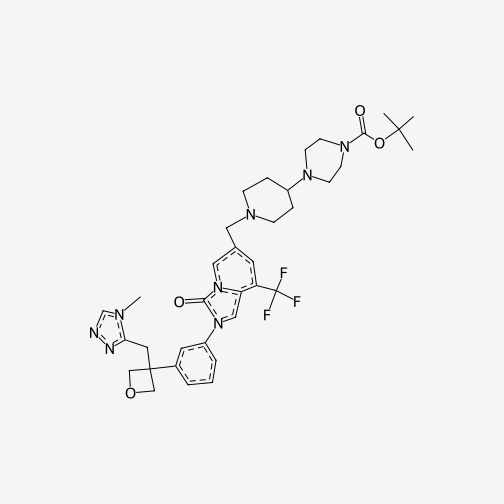 Cn1cnnc1CC1(c2cccc(-n3cc4c(C(F)(F)F)cc(CN5CCC(N6CCN(C(=O)OC(C)(C)C)CC6)CC5)cn4c3=O)c2)COC1